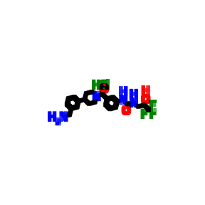 Cl.NCc1cccc(C2CCN(C(=O)c3cccc(NC(=O)NCC(O)C(F)(F)F)c3)CC2)c1